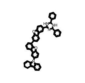 C1=Cc2c(c3ccccc3n2-c2ccc3oc4c(-c5ccc6c(c5)oc5ccc(C7=NC(c8ccccc8)NC(c8ccccc8)N7)cc56)cccc4c3c2)CC1